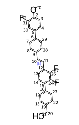 COc1ccc(-c2ccc(/C=C/c3ccc(-c4ccc(CO)cc4)c(F)c3F)cc2)cc1F